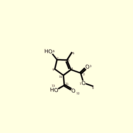 COC(=O)C1=C(C)C(O)CC1C(=O)O